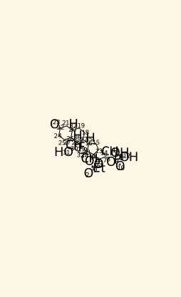 CCC(=O)O[C@@]1(C(=O)COP(=O)(O)O)[C@@H](C)C[C@H]2[C@@H]3CC[C@H]4CC(=O)CC[C@]4(C)[C@@]3(F)[C@@H](O)C[C@@]21C